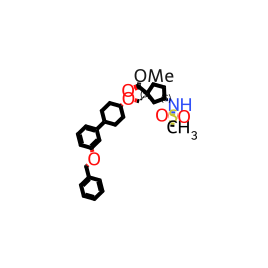 COC(=O)[C@@]1(COC2CCC(c3cccc(OCc4ccccc4)c3)CC2)CC[C@H](NS(C)(=O)=O)C1